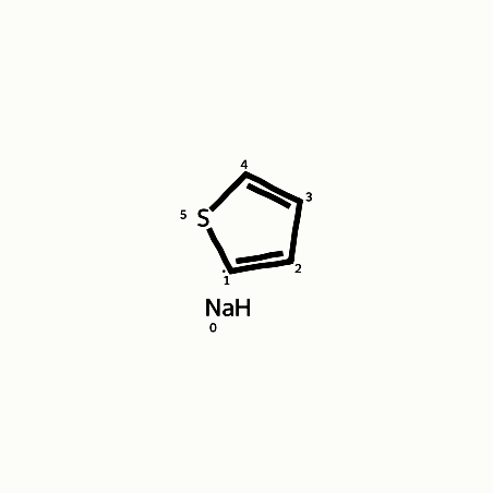 [NaH].[c]1cccs1